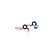 COc1ccc(OCc2cccc3nccn23)c(C=O)c1